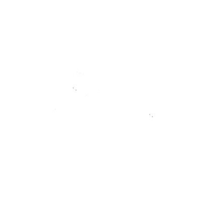 CCCN(C(=O)Cc1cccc(C(N)=O)c1)C1CC1